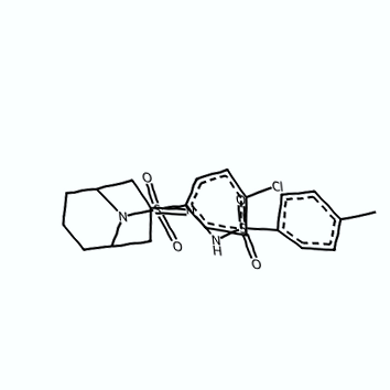 Cc1ccc(S(=O)(=O)NN=C2CC3CCCC(C2)N3S(=O)(=O)c2ccc(Cl)cc2)cc1